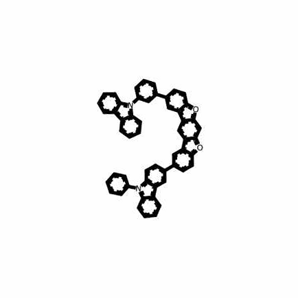 c1ccc(-n2c3ccccc3c3cc(-c4ccc5oc6cc7oc8ccc(-c9cccc(-n%10c%11ccccc%11c%11ccccc%11%10)c9)cc8c7cc6c5c4)ccc32)cc1